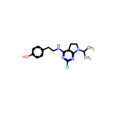 CC(C)N1CCc2c(NCCc3ccc(O)cc3)nc(Cl)nc21